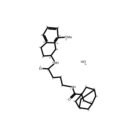 CCC(CCCNC(=O)C12CC3CC(CC(C3)C1)C2)NC1CCc2cccc(OC)c2C1.Cl